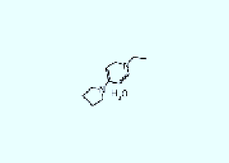 CCN1C=CC(N2CCCC2)=CC1.O